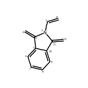 C=Cn1c(=C)c2ccccc2c1=C